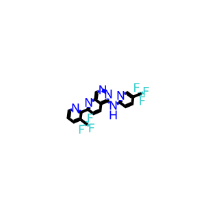 FC(F)(F)c1ccc(Nc2nncc3nc(-c4ncccc4C(F)(F)F)ccc23)nc1